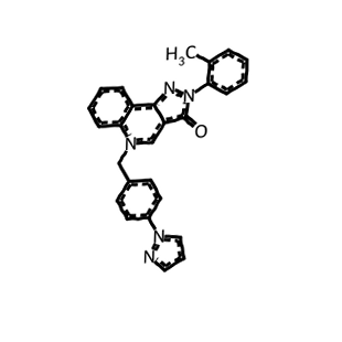 Cc1ccccc1-n1nc2c3ccccc3n(Cc3ccc(-n4cccn4)cc3)cc-2c1=O